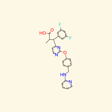 CC(C(=O)O)C(c1cc(F)cc(F)c1)c1ccnc(Oc2ccc(CNc3ccccn3)cc2)n1